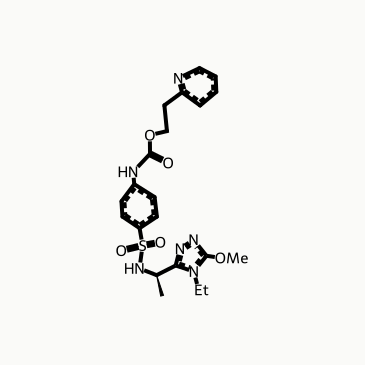 CCn1c(OC)nnc1[C@@H](C)NS(=O)(=O)c1ccc(NC(=O)OCCc2ccccn2)cc1